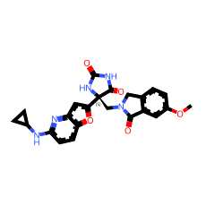 COc1ccc2c(c1)C(=O)N(C[C@@]1(c3cc4nc(NC5CC5)ccc4o3)NC(=O)NC1=O)C2